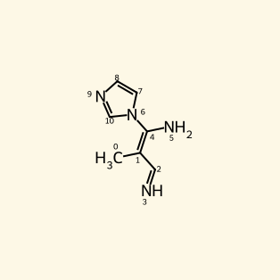 C/C(C=N)=C(/N)n1ccnc1